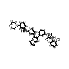 O=C(Nc1cccc(-c2nc3sccn3c2-c2ccnc(Nc3cccc(N4CCOCC4)c3)n2)c1)Nc1ccccc1Cl